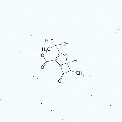 CC1C(=O)N2C(C(=O)O)=C(C(C)(C)C)O[C@@H]12